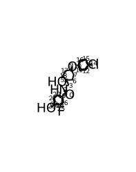 O=C(NCC1(O)CCC(Oc2ccc(Cl)cc2)CC1)c1ccc(O)c(F)c1